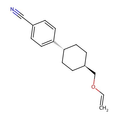 C=COC[C@H]1CC[C@H](c2ccc(C#N)cc2)CC1